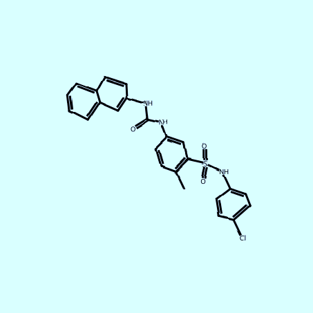 Cc1ccc(NC(=O)Nc2ccc3ccccc3c2)cc1S(=O)(=O)Nc1ccc(Cl)cc1